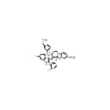 COCc1cccc(CN2[C@H]3CCn4c(nc5cc(C(=O)O)ccc54)[C@H]3[C@H](c3cccc(Cl)c3F)[C@]23C(=O)Nc2cc(Cl)ccc23)c1